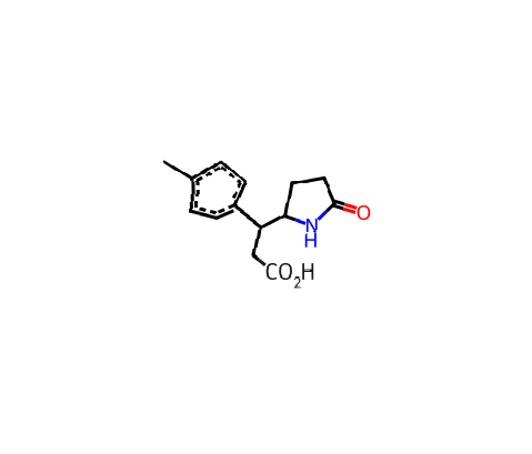 Cc1ccc(C(CC(=O)O)C2CCC(=O)N2)cc1